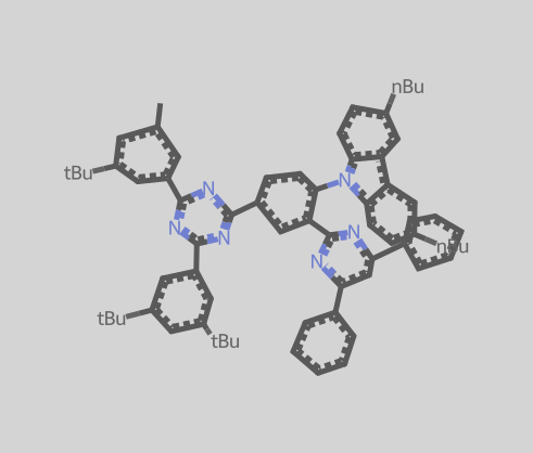 CCCCc1ccc2c(c1)c1cc(CCCC)ccc1n2-c1ccc(-c2nc(-c3cc(C)cc(C(C)(C)C)c3)nc(-c3cc(C(C)(C)C)cc(C(C)(C)C)c3)n2)cc1-c1nc(-c2ccccc2)cc(-c2ccccc2)n1